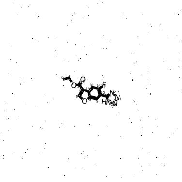 CCOC(=O)c1coc2cc(-c3nnn[nH]3)c(F)cc12